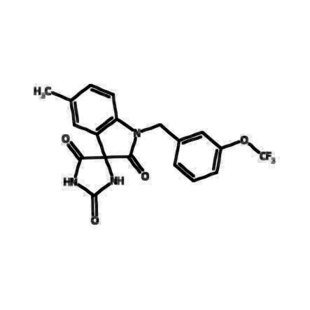 Cc1ccc2c(c1)C1(NC(=O)NC1=O)C(=O)N2Cc1cccc(OC(F)(F)F)c1